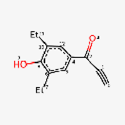 C#CC(=O)c1cc(CC)c(O)c(CC)c1